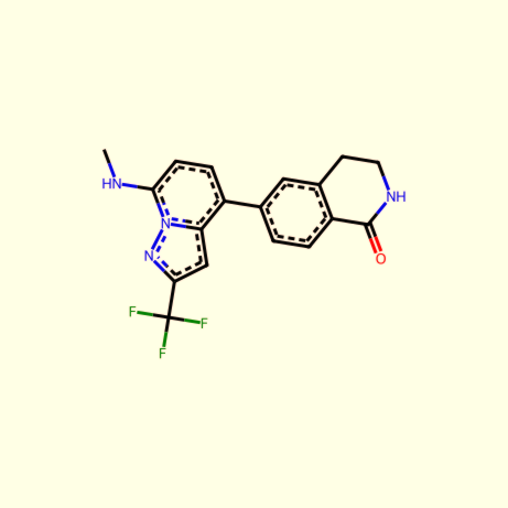 CNc1ccc(-c2ccc3c(c2)CCNC3=O)c2cc(C(F)(F)F)nn12